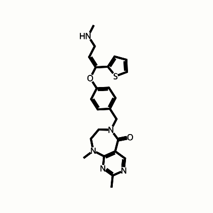 CNC/C=C(/Oc1ccc(CN2CCN(C)c3nc(C)ncc3C2=O)cc1)c1cccs1